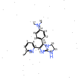 Cc1cccc(-c2nc3n(c2-c2ccc(N(C)C)cc2)CCN3)n1